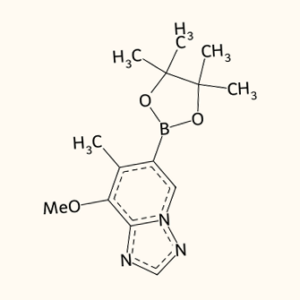 COc1c(C)c(B2OC(C)(C)C(C)(C)O2)cn2ncnc12